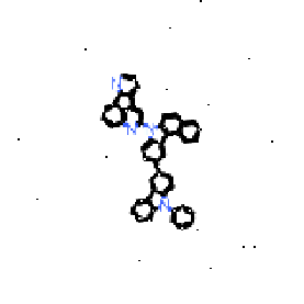 c1ccc(-n2c3ccccc3c3cc(-c4ccc5c(c4)c4c6ccccc6ccc4n5-c4cc5c6c(cccc6n4)-c4ncccc4-5)ccc32)cc1